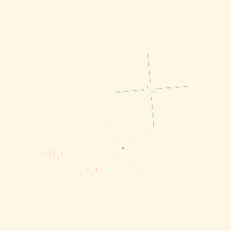 CC(C)(C[Si](C)(C)C)OO